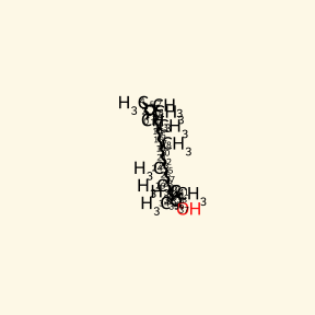 CC1=CC(C)CC(C)(C)C1/C=C/C(C)=C/C=C/C(C)=C/C=C/C=C(C)/C=C/C=C(C)/C=C/C1=C(C)CC(O)CC1(C)C